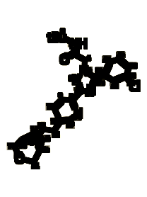 CC(C)(C)NC(=O)Cn1nc(-c2ccc(CCN3C4CCC3COC4)cn2)nc1-c1cccc(Cl)c1